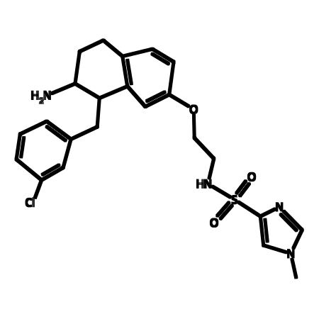 Cn1cnc(S(=O)(=O)NCCOc2ccc3c(c2)C(Cc2cccc(Cl)c2)C(N)CC3)c1